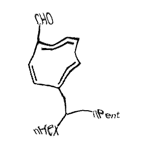 CCCCCCC(CCCCC)c1ccc(C=O)cc1